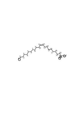 O=[C]CCCCCCCCC/C=C\CCCCCCCC[N+](=O)[O-]